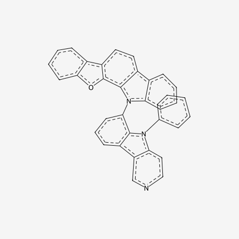 c1ccc(-n2c3ccncc3c3cccc(-n4c5ccccc5c5ccc6c7ccccc7oc6c54)c32)cc1